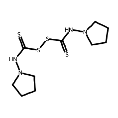 S=C(NN1CCCC1)SSC(=S)NN1CCCC1